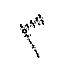 C=C(C)C(=O)OC.C=C(C)C(=O)OCC.C=C(C)C(=O)OCCCC.C=CC(=O)OC1CCCCC1.C=CC(=O)OCC.C=CC(=O)OCCCC.C=CC(=O)OCCCCCC